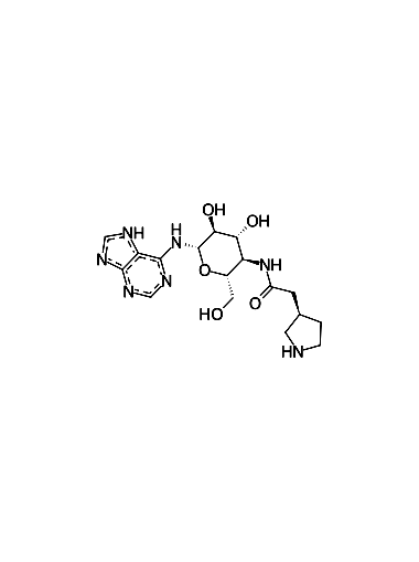 O=C(C[C@H]1CCNC1)N[C@@H]1[C@@H](O)[C@H](O)[C@@H](Nc2ncnc3nc[nH]c23)O[C@H]1CO